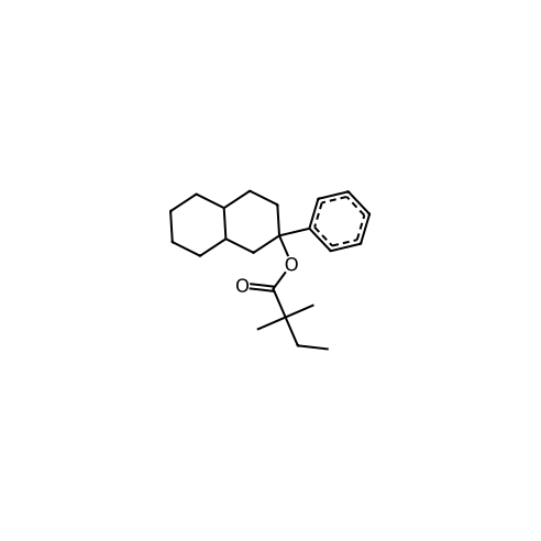 CCC(C)(C)C(=O)OC1(c2ccccc2)CCC2CCCCC2C1